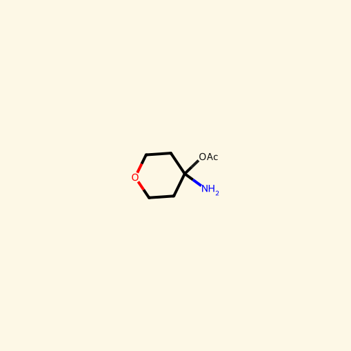 CC(=O)OC1(N)CCOCC1